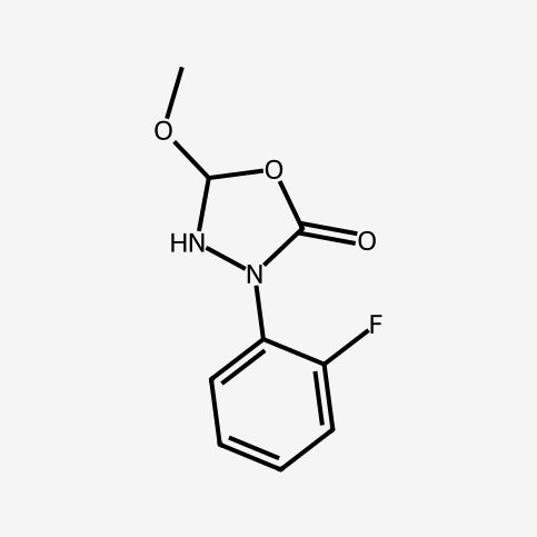 COC1NN(c2ccccc2F)C(=O)O1